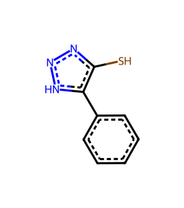 Sc1nn[nH]c1-c1ccccc1